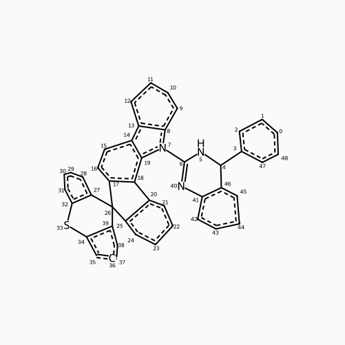 c1ccc(C2NC(n3c4ccccc4c4ccc5c(c43)-c3ccccc3C53c4ccccc4Sc4ccccc43)=Nc3ccccc32)cc1